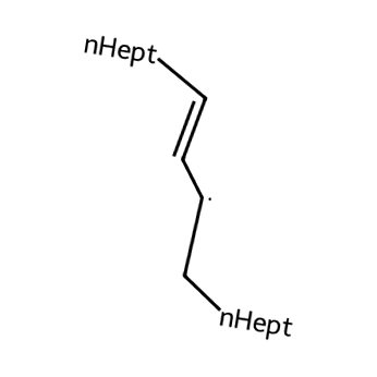 CCCCCCCC=C[CH]CCCCCCCC